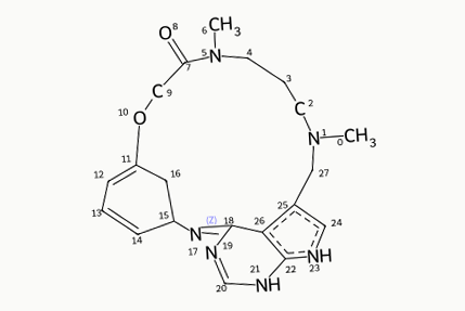 CN1CCCN(C)C(=O)COC2=CC=CC(C2)/N=C2\N=CNc3[nH]cc(c32)C1